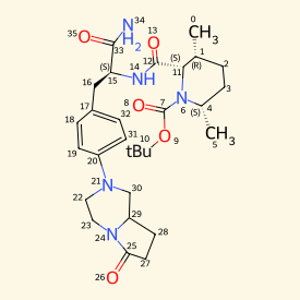 C[C@@H]1CC[C@H](C)N(C(=O)OC(C)(C)C)[C@@H]1C(=O)N[C@@H](Cc1ccc(N2CCN3C(=O)CCC3C2)cc1)C(N)=O